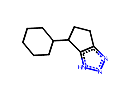 C1CCC(C2CCc3nn[nH]c32)CC1